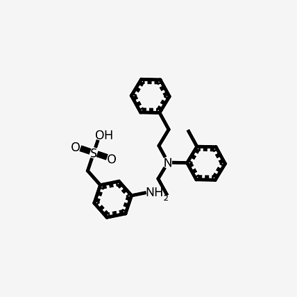 CCN(CCc1ccccc1)c1ccccc1C.Nc1cccc(CS(=O)(=O)O)c1